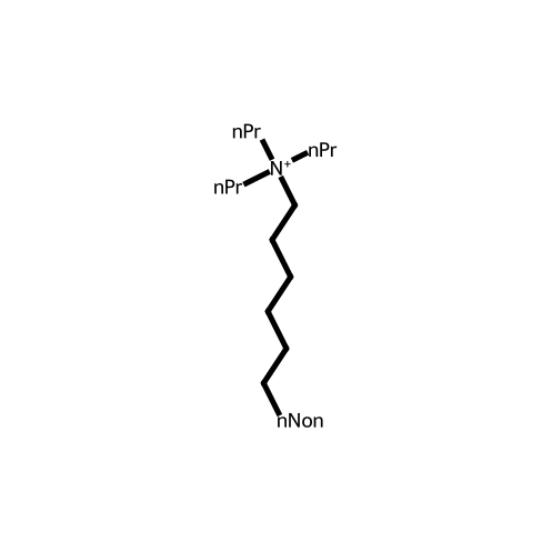 CCCCCCCCCCCCCCC[N+](CCC)(CCC)CCC